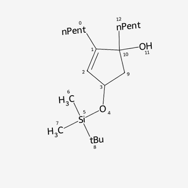 CCCCCC1=CC(O[Si](C)(C)C(C)(C)C)CC1(O)CCCCC